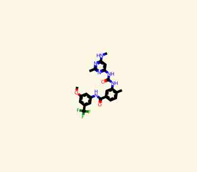 CNc1cc(NC(=O)Nc2cc(C(=O)Nc3cc(OC)cc(C(F)(F)F)c3)ccc2C)nc(C)n1